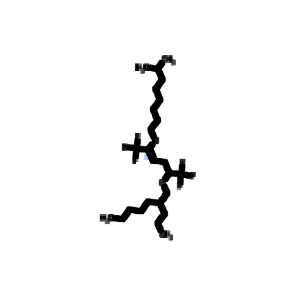 CCCCCC(CCC)COC(C/C=C(\OCCCCCCC(C)C)C(F)(F)F)C(F)(F)F